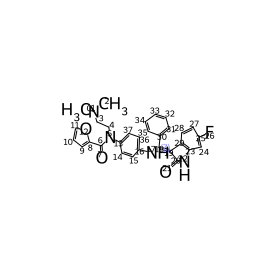 CN(C)CCN(C(=O)c1ccco1)c1ccc(N/C(=C2\C(=O)Nc3cc(F)ccc32)c2ccccc2)cc1